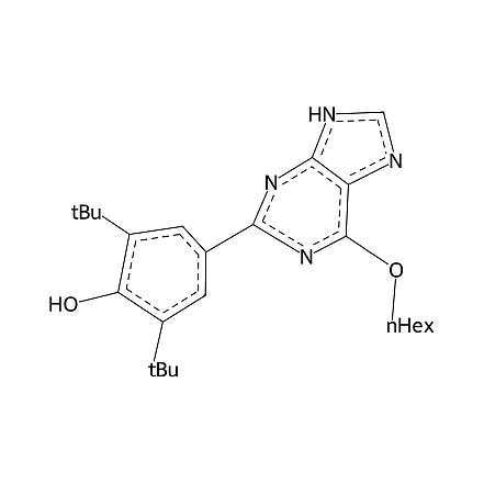 CCCCCCOc1nc(-c2cc(C(C)(C)C)c(O)c(C(C)(C)C)c2)nc2[nH]cnc12